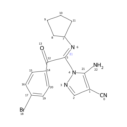 N#Cc1cnn(/C(=N/C2CCCC2)C(=O)c2ccc(Br)cc2)c1N